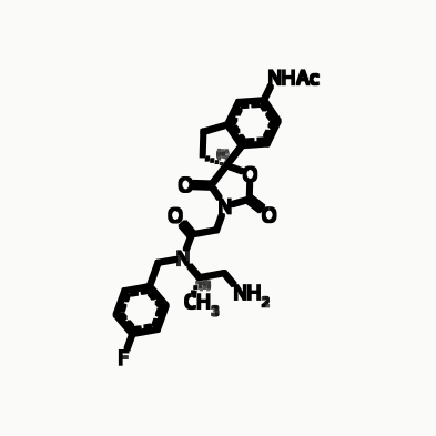 CC(=O)Nc1ccc2c(c1)CC[C@@]21OC(=O)N(CC(=O)N(Cc2ccc(F)cc2)[C@@H](C)CN)C1=O